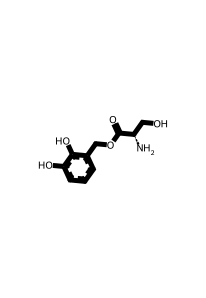 N[C@@H](CO)C(=O)OCc1cccc(O)c1O